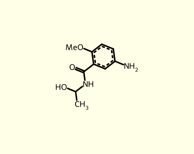 COc1ccc(N)cc1C(=O)NC(C)O